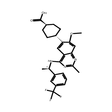 COc1cc2nc(C)nc(N[C@H](C)c3cccc(C(F)(F)F)c3)c2cc1[C@H]1CC[C@H](C(=O)O)CC1